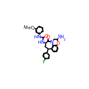 COc1cccc(NC(=O)NC2CC(c3ccc(F)cc3)c3ccccc3N(CC(N)=O)C2=O)c1